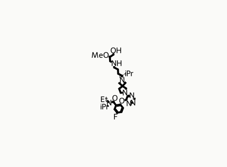 CCN(C(=O)c1cc(F)ccc1Oc1nncnc1N1CCC2(C1)CN([C@H](CCCNCC(CO)OC)C(C)C)C2)C(C)C